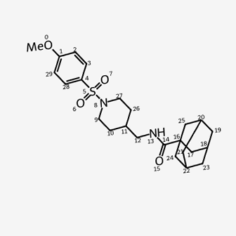 COc1ccc(S(=O)(=O)N2CCC(CNC(=O)C34CC5CC(CC(C5)C3)C4)CC2)cc1